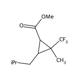 COC(=O)C1C(CC(C)C)C1(C)C(F)(F)F